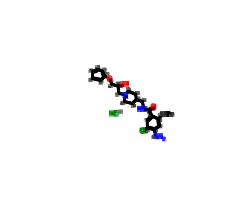 COc1cc(N)c(Cl)cc1C(=O)NCC1CCN(CC(O)COc2ccccc2)CC1.Cl